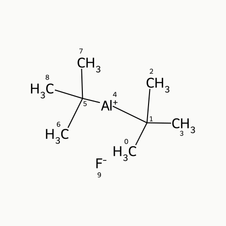 C[C](C)(C)[Al+][C](C)(C)C.[F-]